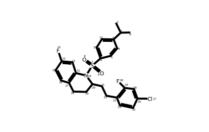 CC(C)c1ccc(S(=O)(=O)N2c3cc(F)ccc3CCC2CCc2ccc(Cl)cc2F)cc1